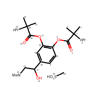 CCCC(C)(C)C(=O)Oc1ccc(C(O)CNC)cc1OC(=O)C(C)(C)CCC.CS(=O)(=O)O